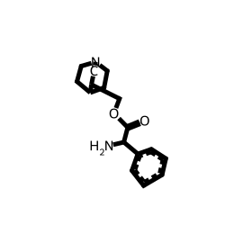 NC(C(=O)OCC1CN2CCC1CC2)c1ccccc1